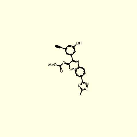 C#Cc1cc(O)cc(C(=Nc2ccc(-c3noc(C)n3)cc2)C(=NC(=O)OC)SC)c1